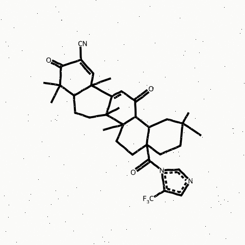 CC1(C)CCC2(C(=O)n3cncc3C(F)(F)F)CCC3(C)C(C(=O)C=C4C5(C)C=C(C#N)C(=O)C(C)(C)C5CCC43C)C2C1